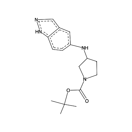 CC(C)(C)OC(=O)N1CCC(Nc2ccc3[nH]ncc3c2)C1